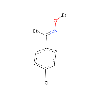 CCO/N=C(\CC)c1ccc(C)cc1